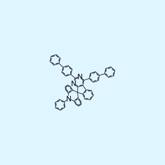 c1ccc(-c2ccc(-c3nc(-c4ccc(-c5ccccc5)cc4)c4c(n3)C3(c5ccccc5-4)c4ccccc4N(c4ccccc4)c4ccccc43)cc2)cc1